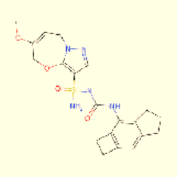 COC1=CCn2ncc(S(N)(=O)=NC(=O)Nc3c4c(cc5c3CC5)CCC4)c2OC1